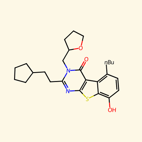 CCCCc1ccc(O)c2sc3nc(CCC4CCCC4)n(CC4CCCO4)c(=O)c3c12